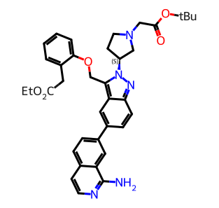 CCOC(=O)Cc1ccccc1OCc1c2cc(-c3ccc4ccnc(N)c4c3)ccc2nn1[C@H]1CCN(CC(=O)OC(C)(C)C)C1